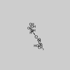 C[C@H](O)c1nccn1Cc1cc(-c2ccc(C#CC3[C@H]4CN(C(=O)C(O)CO)C[C@@H]34)cc2)on1